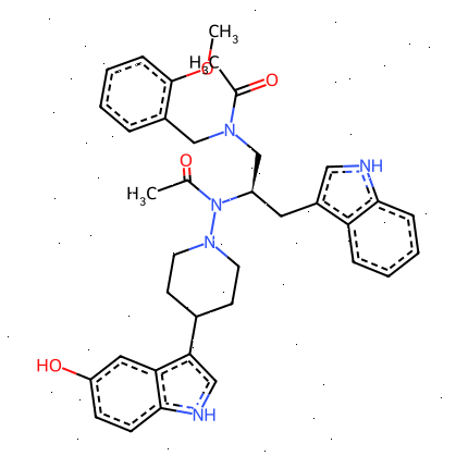 COc1ccccc1CN(C[C@@H](Cc1c[nH]c2ccccc12)N(C(C)=O)N1CCC(c2c[nH]c3ccc(O)cc23)CC1)C(C)=O